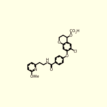 COc1cccc(CCNC(=O)c2ccc(Oc3cc4c(cc3Cl)C(OC(=O)O)CCO4)cc2)n1